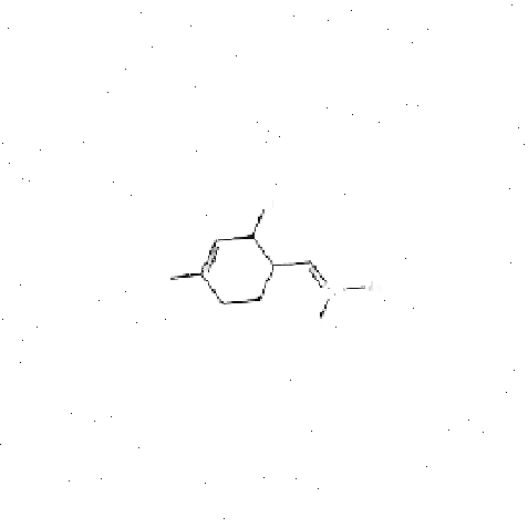 CC1=CC(C)C(C=[N+]([O-])C(C)C)CC1